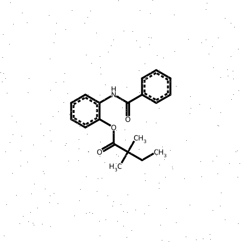 CCC(C)(C)C(=O)Oc1ccccc1NC(=O)c1ccccc1